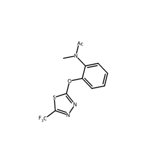 CC(=O)N(C)c1ccccc1Oc1nnc(C(F)(F)F)s1